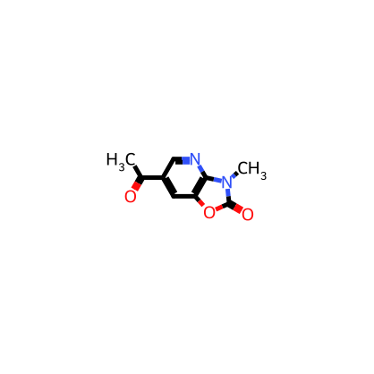 CC(=O)c1cnc2c(c1)oc(=O)n2C